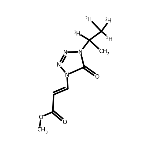 [2H]C([2H])([2H])C([2H])(C)n1nnn(/C=C/C(=O)OC)c1=O